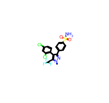 Cn1nc(-c2ccc(S(N)(=O)=O)cc2)c(-c2ccc(Cl)cc2Cl)c1C(F)(F)F